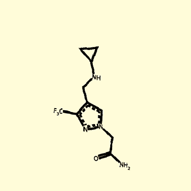 NC(=O)Cn1cc(CNC2CC2)c(C(F)(F)F)n1